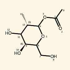 CC(=O)OC1OC(CO)[C@@H](O)C(O)[C@@H]1C